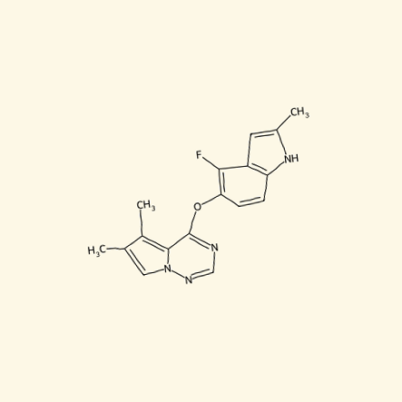 Cc1cc2c(F)c(Oc3ncnn4cc(C)c(C)c34)ccc2[nH]1